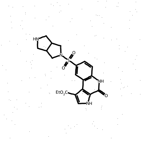 CCOC(=O)c1c[nH]c2c(=O)[nH]c3ccc(S(=O)(=O)N4CC5CNCC5C4)cc3c12